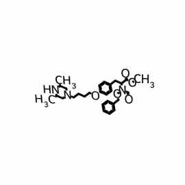 COC(=O)C(Cc1ccc(OCCCCN2CC(C)NC(C)C2)cc1)N(C=O)OCc1ccccc1